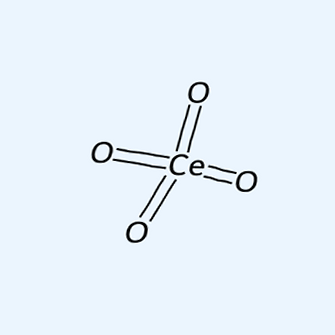 [O]=[Ce](=[O])(=[O])=[O]